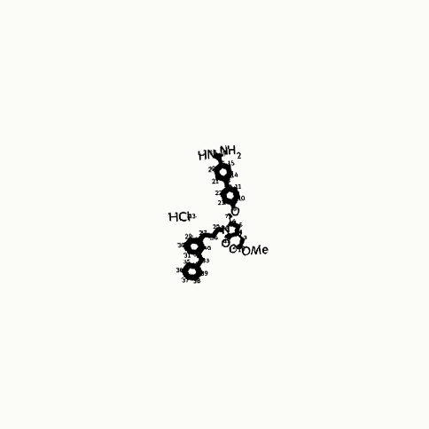 COC(=O)C[C@@H]1C[C@@H](COc2ccc(-c3ccc(C(=N)N)cc3)cc2)N(CCCc2cccc(Cc3ccccc3)c2)C1=O.Cl